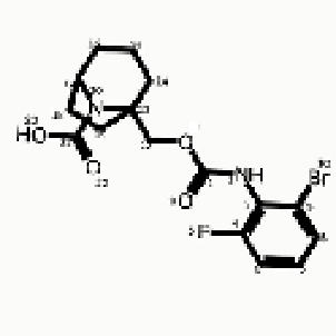 O=C(Nc1c(F)cccc1Br)OCC12CCCC(CC1)N2C(=O)O